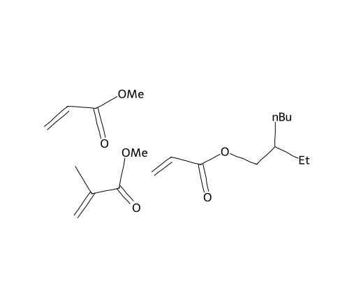 C=C(C)C(=O)OC.C=CC(=O)OC.C=CC(=O)OCC(CC)CCCC